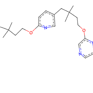 CC(C)(C)CCOc1ccc(CC(C)(C)CCOc2cnccn2)cn1